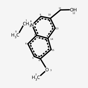 CC.COc1ccc2ncc(CO)cc2c1